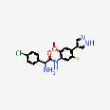 COc1cc(-c2cn[nH]c2)c(F)cc1NC(=O)C(N)c1ccc(Cl)cc1